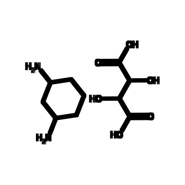 NC1CCCC(N)C1.O=C(O)C(O)C(O)C(=O)O